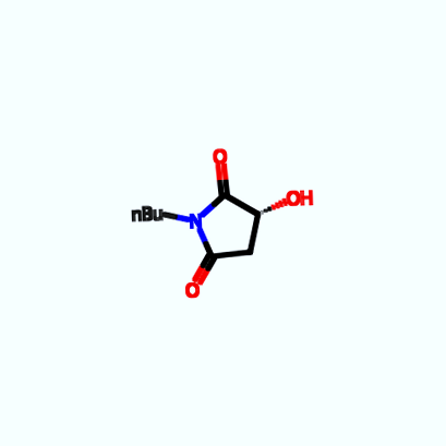 CCCCN1C(=O)C[C@@H](O)C1=O